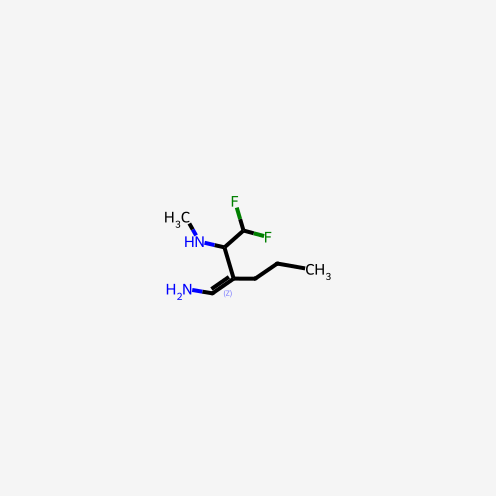 CCC/C(=C/N)C(NC)C(F)F